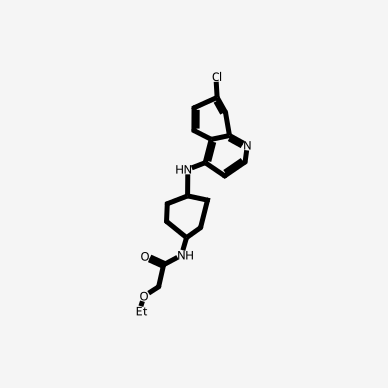 CCOCC(=O)NC1CCC(Nc2ccnc3cc(Cl)ccc23)CC1